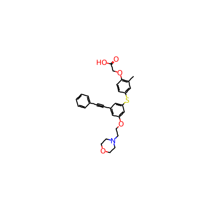 Cc1cc(Sc2cc(C#Cc3ccccc3)cc(OCCN3CCOCC3)c2)ccc1OCC(=O)O